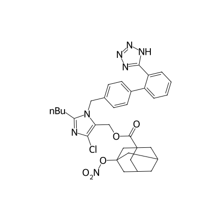 CCCCc1nc(Cl)c(COC(=O)C23CC4CC(CC(O[N+](=O)[O-])(C4)C2)C3)n1Cc1ccc(-c2ccccc2-c2nnn[nH]2)cc1